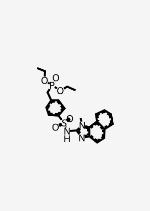 CCOP(=O)(Cc1ccc(S(=O)(=O)Nc2nc3ccc4ccccc4c3n2C)cc1)OCC